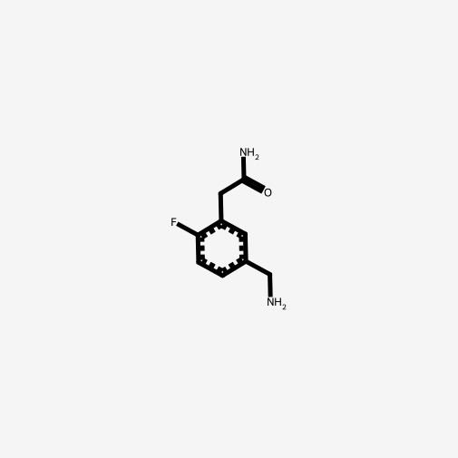 NCc1ccc(F)c(CC(N)=O)c1